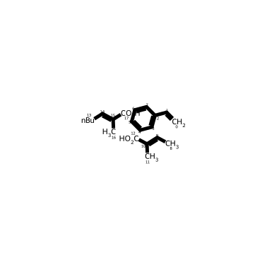 C=Cc1ccccc1.CC=C(C)C(=O)O.CCCCC=C(C)C(=O)O